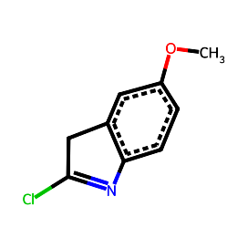 COc1ccc2c(c1)CC(Cl)=N2